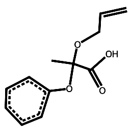 C=CCOC(C)(Oc1ccccc1)C(=O)O